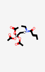 CC=CC(=O)N(CC)CC[Si](OC(C)=O)(OC(C)=O)OC(C)=O